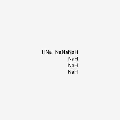 [NaH].[NaH].[NaH].[NaH].[NaH].[NaH].[NaH]